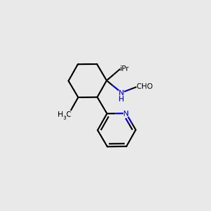 CC1CCCC(NC=O)(C(C)C)C1c1ccccn1